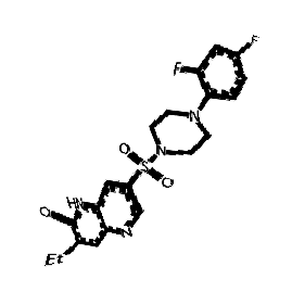 CCc1cc2ncc(S(=O)(=O)N3CCN(c4ccc(F)cc4F)CC3)cc2[nH]c1=O